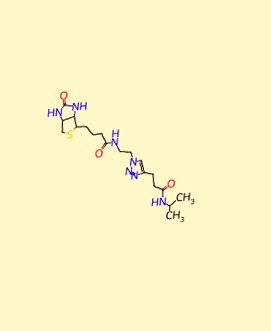 CC(C)NC(=O)CCc1cn(CCNC(=O)CCCC2SCC3NC(=O)NC32)nn1